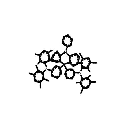 Cc1cc(C)c(C)c(N(c2cccc(C3(c4cccc(N(c5c(C)c(C)cc(C)c5C)c5c(C)c(C)cc(C)c5C)c4)c4ccccc4N(c4ccccc4)c4ccccc43)c2)c2c(C)c(C)cc(C)c2C)c1C